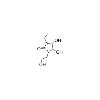 CCN1C(=O)N(CCO)C(O)C1O